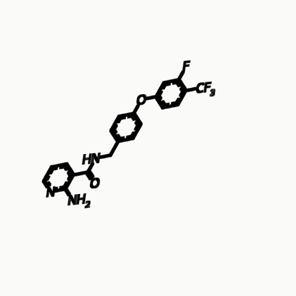 Nc1ncccc1C(=O)NCc1ccc(Oc2ccc(C(F)(F)F)c(F)c2)cc1